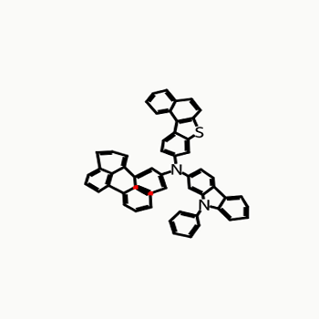 c1ccc(-c2cccc3cccc(-c4cccc(N(c5ccc6c(c5)sc5ccc7ccccc7c56)c5ccc6c7ccccc7n(-c7ccccc7)c6c5)c4)c23)cc1